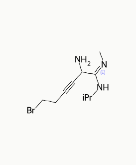 C/N=C(/NC(C)C)C(N)C#CCCBr